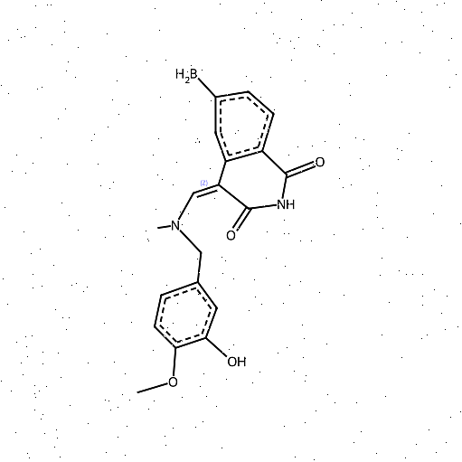 Bc1ccc2c(c1)/C(=C/N(C)Cc1ccc(OC)c(O)c1)C(=O)NC2=O